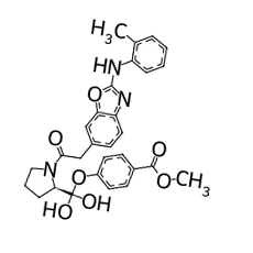 COC(=O)c1ccc(OC(O)(O)[C@H]2CCCN2C(=O)Cc2ccc3nc(Nc4ccccc4C)oc3c2)cc1